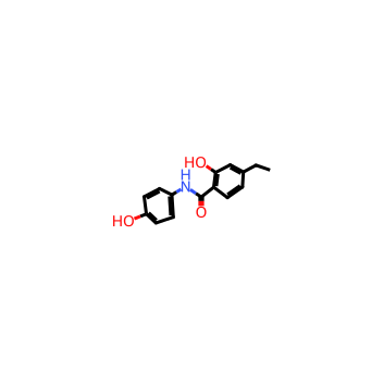 CCc1ccc(C(=O)Nc2ccc(O)cc2)c(O)c1